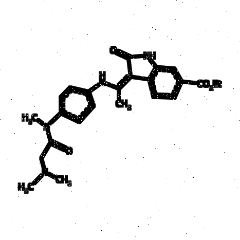 CCOC(=O)c1ccc2c(c1)NC(=O)/C2=C(/C)Nc1ccc(N(C)C(=O)CN(C)C)cc1